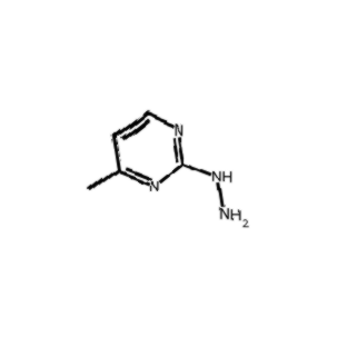 Cc1ccnc(NN)n1